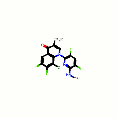 CCOC(=O)c1cn(-c2nc(NC(C)(C)C)c(F)cc2F)c2c(Cl)c(F)c(F)cc2c1=O